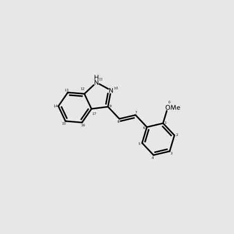 COc1ccccc1C=Cc1n[nH]c2ccccc12